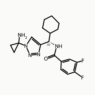 NC1(n2cc([C@@H](NC(=O)c3ccc(F)c(F)c3)C3CCCCC3)nn2)CC1